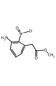 COC(=O)Cc1cccc(N)c1[N+](=O)[O-]